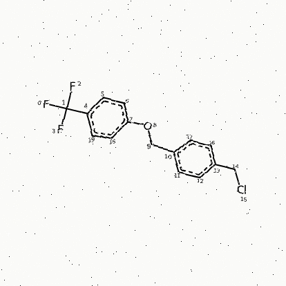 FC(F)(F)c1ccc(OCc2ccc(CCl)cc2)cc1